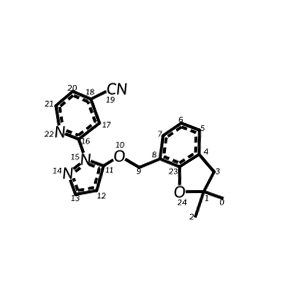 CC1(C)Cc2cccc(COc3ccnn3-c3cc(C#N)ccn3)c2O1